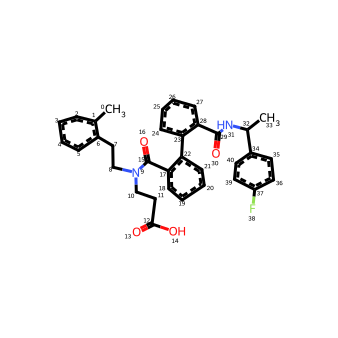 Cc1ccccc1CCN(CCC(=O)O)C(=O)c1ccccc1-c1ccccc1C(=O)NC(C)c1ccc(F)cc1